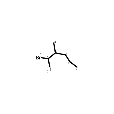 CCCC(C)C(Br)I